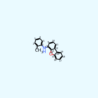 Cc1ccccc1Nc1cccc2c1oc1ccccc12